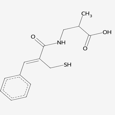 CC(CNC(=O)C(=Cc1ccccc1)CS)C(=O)O